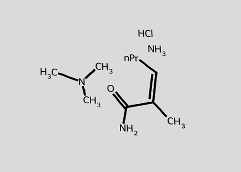 CCCC=C(C)C(N)=O.CN(C)C.Cl.N